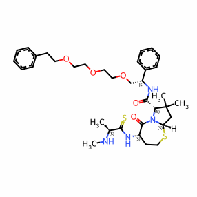 CN[C@@H](C)C(=S)N[C@H]1CCS[C@H]2CC(C)(C)[C@@H](C(=O)N[C@H](COCCOCCOCCc3ccccc3)c3ccccc3)N2C1=O